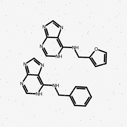 c1ccc(CNc2[nH]cnc3ncnc2-3)cc1.c1coc(CNc2[nH]cnc3ncnc2-3)c1